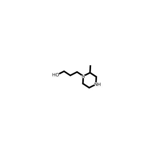 CC1CNCCN1CCCO